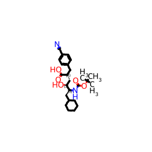 CC(C)(C)OC(=O)N[C@@H](CC1CCCCC1)[C@@H](O)C[C@@H](Cc1ccc(C#N)cc1)C(=O)O